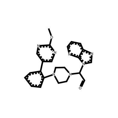 COc1ncc(-c2ccccc2N2CCN(C(C=O)n3cnc4cccnc43)CC2)cn1